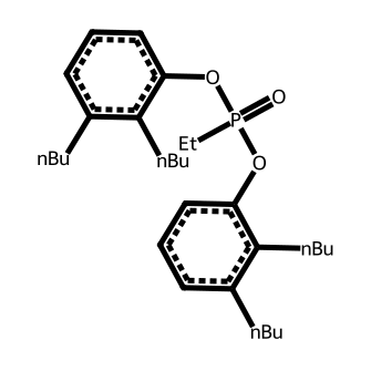 CCCCc1cccc(OP(=O)(CC)Oc2cccc(CCCC)c2CCCC)c1CCCC